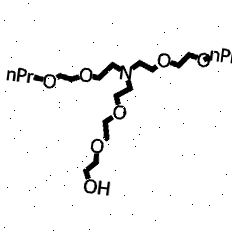 CCCOCCOCCN(CCOCCOCCC)CCOCCOCCO